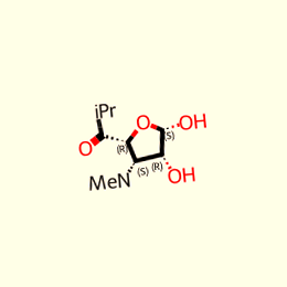 CN[C@H]1[C@@H](O)[C@@H](O)O[C@H]1C(=O)C(C)C